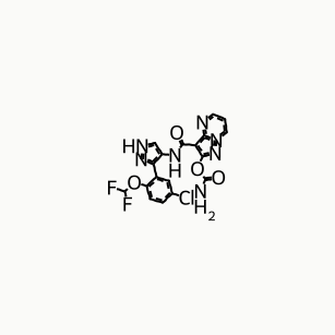 NC(=O)Oc1nn2cccnc2c1C(=O)Nc1c[nH]nc1-c1cc(Cl)ccc1OC(F)F